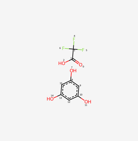 O=C(O)C(F)(F)F.Oc1cc(O)cc(O)c1